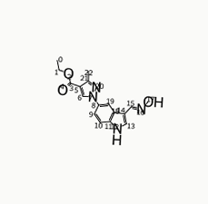 CCOC(=O)c1cn(-c2ccc3[nH]cc(C=NO)c3c2)nc1C